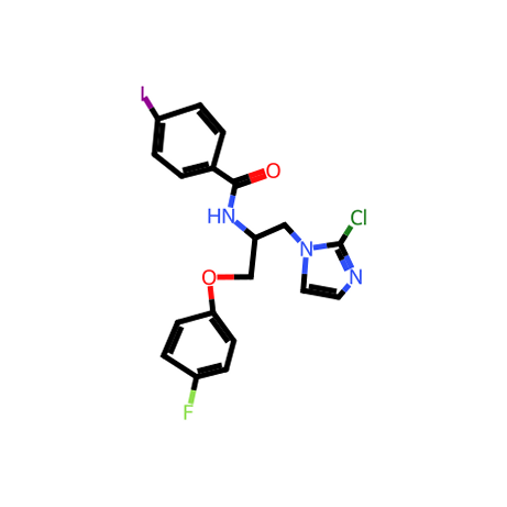 O=C(NC(COc1ccc(F)cc1)Cn1ccnc1Cl)c1ccc(I)cc1